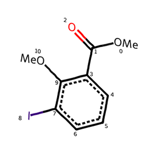 COC(=O)c1cccc(I)c1OC